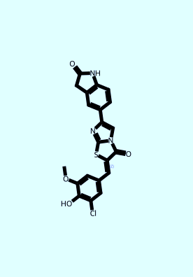 COc1cc(/C=c2\sc3nc(-c4ccc5c(c4)CC(=O)N5)cn3c2=O)cc(Cl)c1O